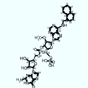 COC1C(OP(=O)(O)OC[C@H]2O[C@@H](n3cnc4c(=O)[nH]c(N)nc43)C(O)C2O)[C@@H](COP(=O)(O)O)O[C@H]1n1cnc2c(NCc3cccc4ccccc34)ncnc21